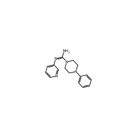 NC(=Nc1cccnc1)N1CCN(c2ccccc2)CC1